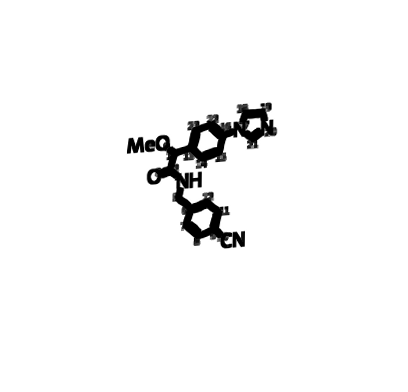 COC(C(=O)NCc1ccc(C#N)cc1)c1ccc(-n2ccnc2)cc1